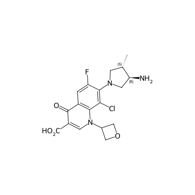 C[C@H]1CN(c2c(F)cc3c(=O)c(C(=O)O)cn(C4COC4)c3c2Cl)C[C@@H]1N